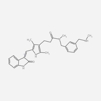 CNCc1cccc(CN(C)C(=O)CCc2c(C)[nH]c(/C=C3\C(=O)Nc4ccccc43)c2C)c1